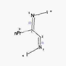 CCCC(/C=N\I)=N/I